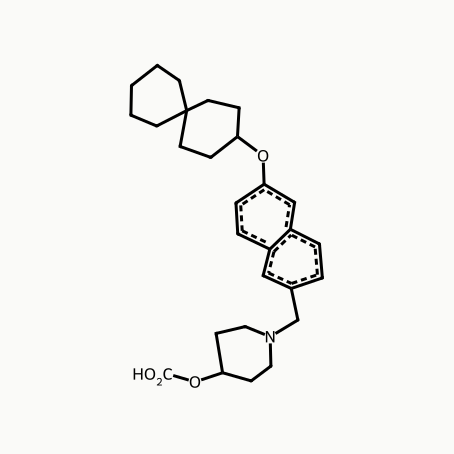 O=C(O)OC1CCN(Cc2ccc3cc(OC4CCC5(CCCCC5)CC4)ccc3c2)CC1